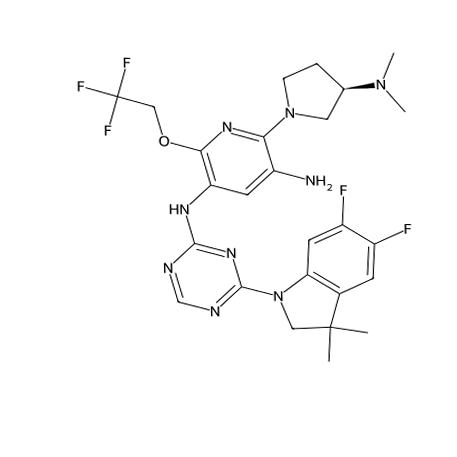 CN(C)[C@@H]1CCN(c2nc(OCC(F)(F)F)c(Nc3ncnc(N4CC(C)(C)c5cc(F)c(F)cc54)n3)cc2N)C1